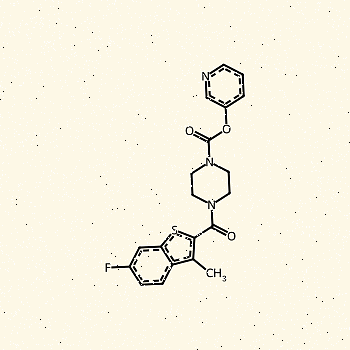 Cc1c(C(=O)N2CCN(C(=O)Oc3cccnc3)CC2)sc2cc(F)ccc12